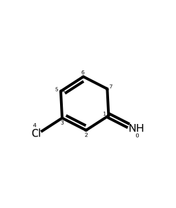 N=C1C=C(Cl)[C]=CC1